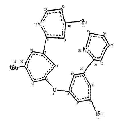 CC(C)(C)c1cc(Oc2cc(-c3cc(C(C)(C)C)ccn3)cc(C(C)(C)C)c2)cc(-c2ccccn2)c1